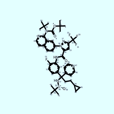 CC(C)(C)OC(=O)N(c1nccc2ccc(-n3nc(C(F)(F)F)cc3C(=O)Nc3cc(C(CCC4CC4)(N[S@+]([O-])C(C)(C)C)c4ccncc4)ccc3F)cc12)C(C)(C)C